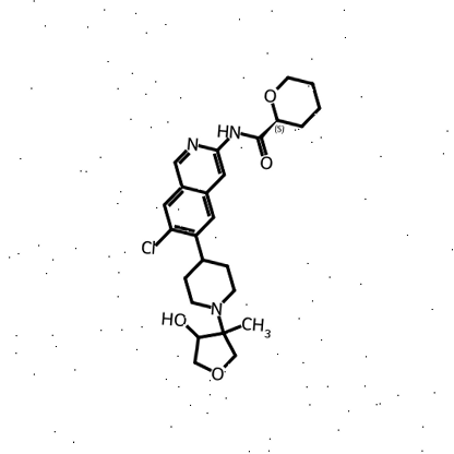 CC1(N2CCC(c3cc4cc(NC(=O)[C@@H]5CCCCO5)ncc4cc3Cl)CC2)COCC1O